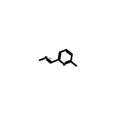 C/N=C/c1cccc(C)n1